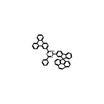 c1ccc(C2=NC(c3ccc4c(c3)C3(c5ccccc5-4)c4cccc5ccc6cccc3c6c45)NC(c3ccc4c5ccccc5c5ccccc5c4c3)=N2)cc1